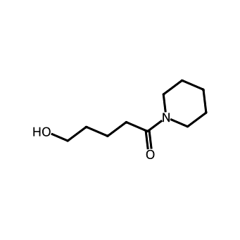 O=C(CCCCO)N1CCCCC1